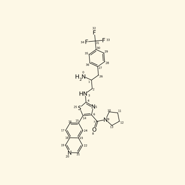 NC(CNc1nc(C(=O)N2CCCC2)c(-c2ccc3cnccc3c2)s1)Cc1ccc(C(F)(F)F)cc1